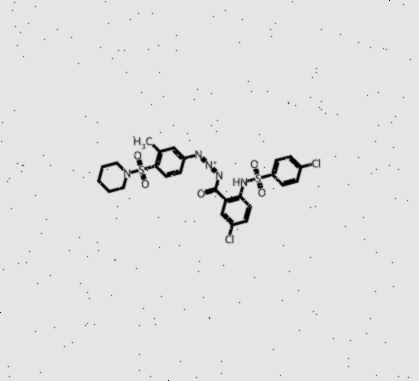 Cc1cc(N=[N+]=NC(=O)c2cc(Cl)ccc2NS(=O)(=O)c2ccc(Cl)cc2)ccc1S(=O)(=O)N1CCCCC1